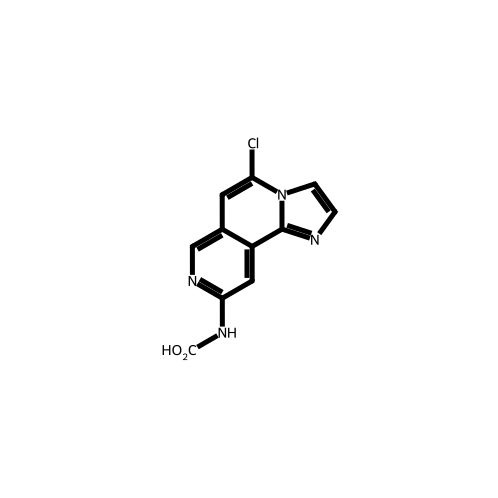 O=C(O)Nc1cc2c(cn1)cc(Cl)n1ccnc21